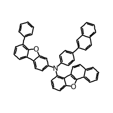 c1ccc(-c2cccc3c2oc2cc(N(c4ccc(-c5ccc6ccccc6c5)cc4)c4cccc5oc6c7ccccc7ccc6c45)ccc23)cc1